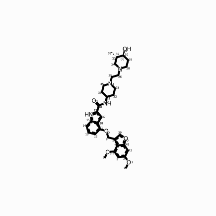 COc1cc(OC)c2c(COc3cccc4[nH]c(C(=O)NC5CCN(CCN6CC[C@H](O)[C@@H](C)C6)CC5)cc34)coc2c1